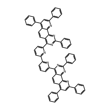 c1ccc(-c2cc(-c3ccccc3)c3ccc4c(-c5cccc(-c6cccc(-c7nc(-c8ccccc8)nc8c7ccc7c(-c9ccccc9)cc(-c9ccccc9)nc78)n6)n5)nc(-c5ccccc5)nc4c3n2)cc1